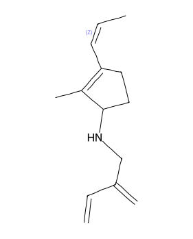 C=CC(=C)CNC1CCC(/C=C\C)=C1C